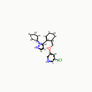 Clc1cncc(OCC2CCCCC2c2ccnn2C2CCCC2)c1